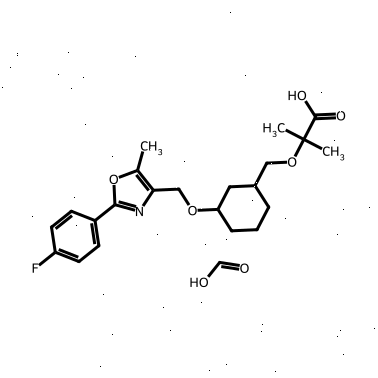 Cc1oc(-c2ccc(F)cc2)nc1COC1CCCC(COC(C)(C)C(=O)O)C1.O=CO